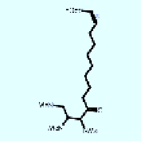 CCCCCCCC/C=C\CCCCCCCC(=O)C(NC)C(CNC)NC